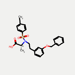 Cc1ccc(S(=O)(=O)N(CCc2cccc(OCc3ccccc3)c2)[C@H](C)C(=O)O)cc1